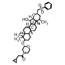 C[C@@H]1C[C@H](CS(=O)(=O)c2ccccc2)O[C@H]2[C@H]1[C@@]1(C)CC[C@@]34C[C@@]35CCC(O[C@H]3CN(C(=O)CC6CC6)CCO3)C(C)(C)[C@@H]5CC[C@H]4[C@]1(C)[C@H]2O